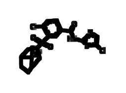 CC1(O)C2CCC1CC(S(=O)(=O)c1cc(C(=O)Nc3ncc(Cl)s3)ccc1Cl)C2